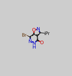 CC(C)c1noc2c(Br)n[nH]c(=O)c12